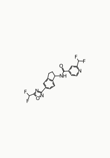 O=C(NC1CCc2cc(-c3noc(C(F)F)n3)ccc21)c1ccnc(C(F)F)c1